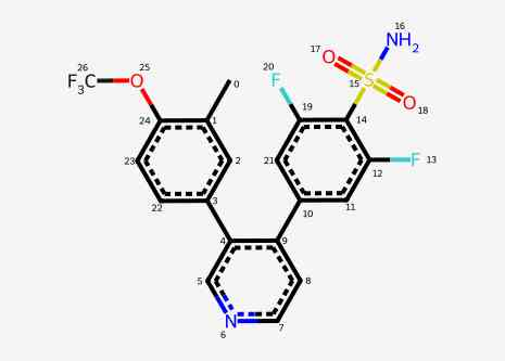 Cc1cc(-c2cnccc2-c2cc(F)c(S(N)(=O)=O)c(F)c2)ccc1OC(F)(F)F